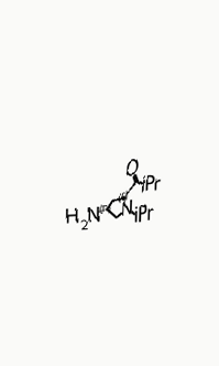 CC(C)C(=O)[C@@H]1C[C@@H](N)CN1C(C)C